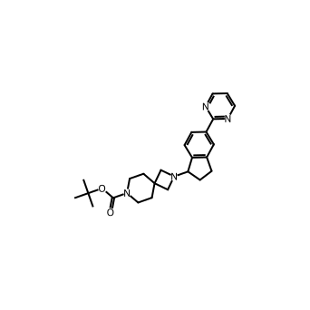 CC(C)(C)OC(=O)N1CCC2(CC1)CN(C1CCc3cc(-c4ncccn4)ccc31)C2